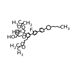 C=C(C)C(=O)OCCCc1cc(-c2ccc(C3=CCC(C4CCC(CCCCC)CC4)C=C3)cc2F)cc(CCCOC(=O)C(=C)C)c1OCCC(CC)(CO)CO